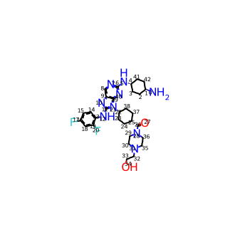 N[C@H]1CC[C@H](Nc2ncc3nc(Nc4ccc(F)cc4F)n([C@H]4CC[C@@H](C(=O)N5CCN(CCO)CC5)CC4)c3n2)CC1